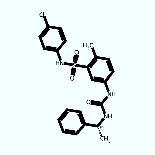 Cc1ccc(NC(=O)N[C@H](C)c2ccccc2)cc1S(=O)(=O)Nc1ccc(Cl)cc1